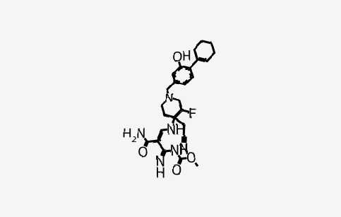 COC(=O)NC(=N)/C(=C\NC1(CC#N)CCN(Cc2ccc(C3=CCCCC3)c(O)c2)CC1F)C(N)=O